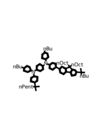 CCCCCCCCC1(CCCCCCCC)c2cc(-c3ccc(N(c4ccc(CCCC)cc4)c4ccc(N(c5ccc(CCCC)cc5)c5ccc(C(C)(C)CCCCC)cc5)cc4)cc3)ccc2-c2ccc(C(C)(C)CCCC)cc21